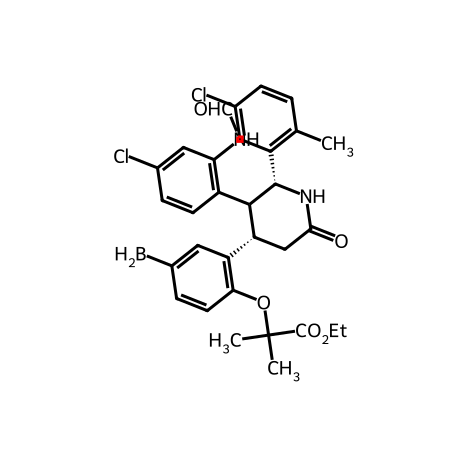 Bc1ccc(OC(C)(C)C(=O)OCC)c([C@H]2CC(=O)N[C@@H](c3cc(Cl)ccc3C)C2c2ccc(Cl)cc2NC=O)c1